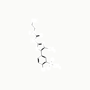 Cc1nc(NC(=O)NCCO)sc1-c1ccc(Cl)c(S(C)(=O)=O)c1